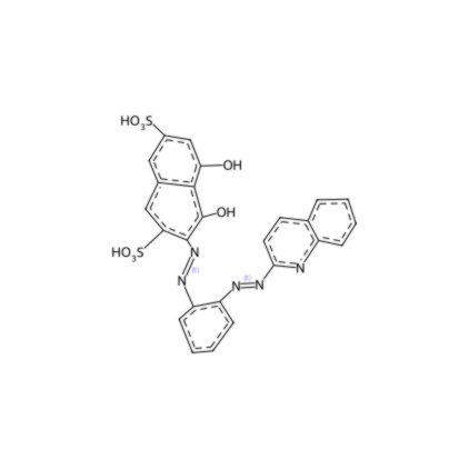 O=S(=O)(O)c1cc(O)c2c(O)c(/N=N/c3ccccc3/N=N/c3ccc4ccccc4n3)c(S(=O)(=O)O)cc2c1